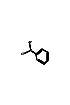 CC(=O)N(Cl)c1ccccn1